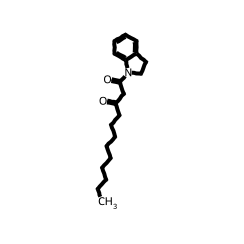 CCCCCCCCCC(=O)CC(=O)N1CCc2ccccc21